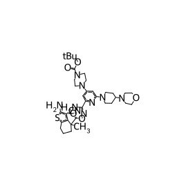 CC(C)(C)OC(=O)N1CCN(c2cc(/C(N)=N/OC(=O)C3(C)CCCc4sc(N)c(C#N)c43)nc(N3CCC(N4CCOCC4)CC3)c2)CC1